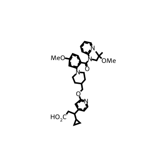 COc1ccc(C(=O)N(CC(C)(C)OC)c2ccccn2)c(N2CCC(COc3cc(C(CC(=O)O)C4CC4)ccn3)CC2)c1